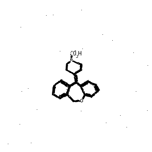 O=C(O)N1CCC(=C2c3ccccc3COc3ccccc32)CC1